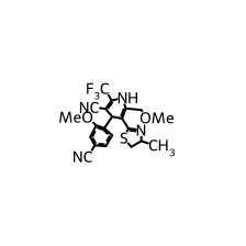 COCC1=C(C2=NC(C)CS2)C(c2ccc(C#N)cc2OC)C(C#N)=C(C(F)(F)F)N1